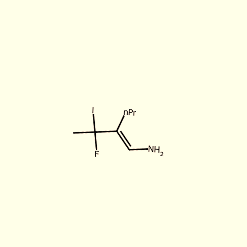 CCC/C(=C\N)C(C)(F)I